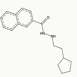 O=C(NNCCC1CCCC1)c1ccc2ccccc2c1